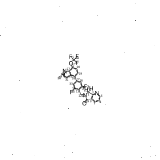 [2H]C1([2H])c2ncccc2C(=O)N1Cc1c(F)cc(-c2ccc(OC(F)(F)F)c3nn(C)cc23)cc1F